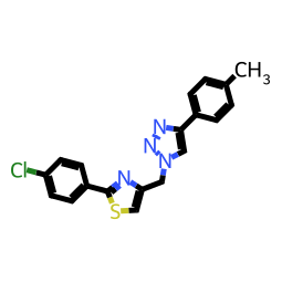 Cc1ccc(-c2cn(Cc3csc(-c4ccc(Cl)cc4)n3)nn2)cc1